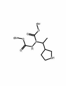 CC(C1CCNC1)N(NC(=O)OC(C)(C)C)C(=O)OC(C)(C)C